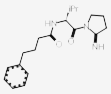 CC(C)[C@H](NC(=O)CCCc1ccccc1)C(=O)N1CCCC1=N